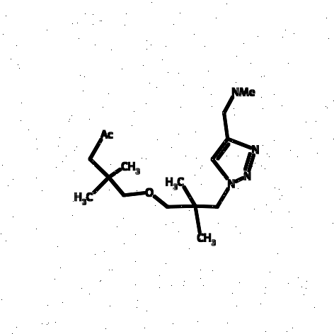 CNCc1cn(CC(C)(C)COCC(C)(C)CC(C)=O)nn1